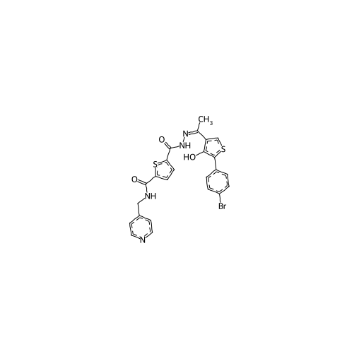 CC(=NNC(=O)c1ccc(C(=O)NCc2ccncc2)s1)c1csc(-c2ccc(Br)cc2)c1O